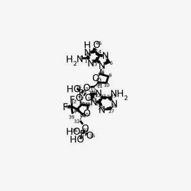 Nc1nc2c(ncn2[C@H]2CC[C@@H](COP(=O)(O)O[C@H]3[C@H](n4cnc5c(N)ncnc54)O[C@H](COP(=O)(O)O)[C@]34CC4(F)F)O2)c(=O)[nH]1